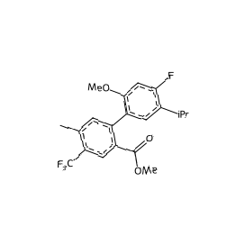 COC(=O)c1cc(C(F)(F)F)c(C)cc1-c1cc(C(C)C)c(F)cc1OC